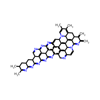 C=C1N=C2C3=C4C5=C6c7c8c(c9c%10c%11c(nc(c7%10)=CC6N6C=C(C)C(C)=C(CC3C1=C)C46)N=C1N=CC3C4=C1C%11C(=N9)N=C4N=C1N=C4N=C(C)C(C)CC4CC13)CN=C1C=CN2C5C=81